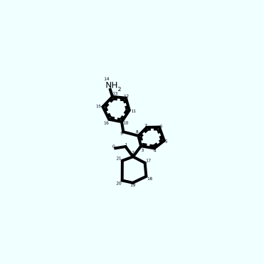 CCC1(c2ccccc2Cc2ccc(N)cc2)CCCCC1